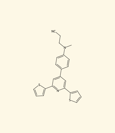 CN(CCC#N)c1ccc(-c2cc(-c3cccs3)nc(-c3cccs3)c2)cc1